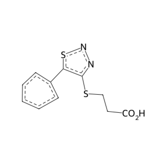 O=C(O)CCSc1nnsc1-c1ccccc1